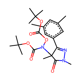 Cc1cc(C)cc(C2=NN(C)C(=O)C2(C)N(OC(=O)OC(C)(C)C)C(=O)OC(C)(C)C)c1